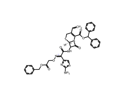 C=CC1=C(C(=O)OC(c2ccccc2)c2ccccc2)N2C(=O)C(NC(=O)/C(=N/OCC(=O)OCc3ccccc3)c3csc(N)n3)[C@H]2SC1